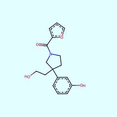 O=C(c1ccco1)N1CCC(CCO)(c2cccc(O)c2)C1